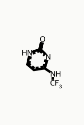 O=c1nc(NC(F)(F)F)cc[nH]1